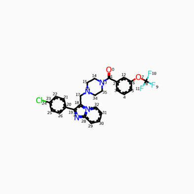 O=C(c1cccc(OC(F)(F)F)c1)N1CCN(Cc2c(-c3ccc(Cl)cc3)nc3ccccn23)CC1